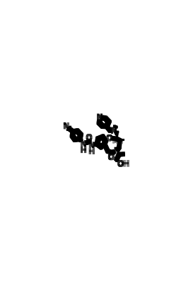 CC(CO)N1C[C@@H](C)[C@H](CN(C)Cc2ccncc2)Oc2ccc(NC(=O)Nc3ccc(C#N)cc3)cc2CC1=O